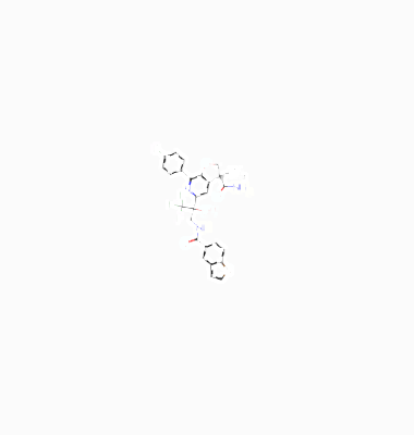 C[C@]1(C(N)=O)COc2c1cc(C(O)(CNC(=O)c1ccc3sccc3c1)C(F)(F)F)nc2-c1ccc(F)cc1